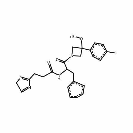 CCCCOC1(c2ccc(F)cc2)CN(C(=O)C(Cc2ccccc2)NC(=O)CCC2=NCC=N2)C1